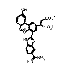 N=C(N)c1ccc2[nH]c(-c3cc(C(CC(=O)O)C(=O)O)cc(-c4cc(O)ccc4O)c3O)nc2c1